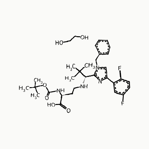 CC(C)(C)OC(=O)N[C@@H](CCN[C@@H](c1nc(-c2cc(F)ccc2F)cn1Cc1ccccc1)C(C)(C)C)C(=O)O.OCCO